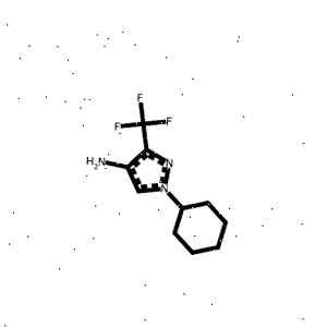 Nc1cn([C]2CCCCC2)nc1C(F)(F)F